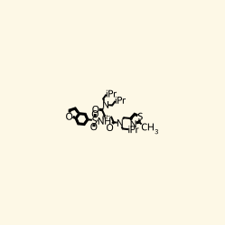 Cc1nc(CN(CC(C)C)C(=O)C[C@H](NS(=O)(=O)c2ccc3occc3c2)C(=O)N(CC(C)C)CC(C)C)cs1